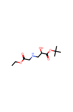 CCOC(=O)CNCC(O)C(=O)OC(C)(C)C